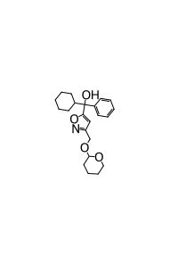 OC(c1ccccc1)(c1cc(COC2CCCCO2)no1)C1CCCCC1